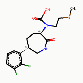 CSCCN(C(=O)O)[C@@H]1CC[C@@H](c2cccc(F)c2F)CNC1=O